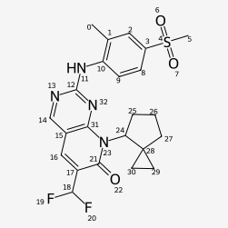 Cc1cc(S(C)(=O)=O)ccc1Nc1ncc2cc(C(F)F)c(=O)n(C3CCCC34CC4)c2n1